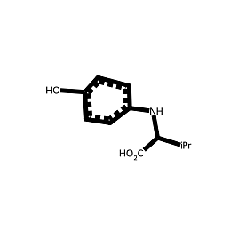 CC(C)C(Nc1ccc(O)cc1)C(=O)O